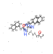 CCC(=O)CCCCC[C@H](NC(=O)Cc1cccc2ccccc12)C1=[N+]C=C(c2ccc3ccccc3c2)N1